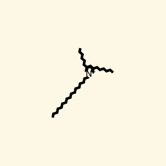 CCCCCCCCCCCCCCCCC[n+]1cc(CCCCCC)cc(CCCCCC)c1